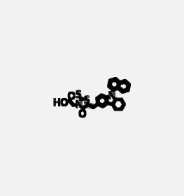 O=C(O)CN1C(=O)/C(=C/c2ccc3c(c2)C2CCCCC2N3c2cccc3ccccc23)SC1=S